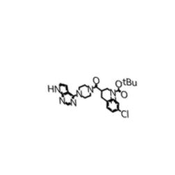 CC(C)(C)OC(=O)NCC(Cc1ccc(Cl)cc1)C(=O)N1CCN(c2ncnc3[nH]ccc23)CC1